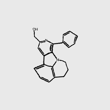 OCc1cc2c3cccc4c3n(c2c(-c2ccccc2)n1)CCC4